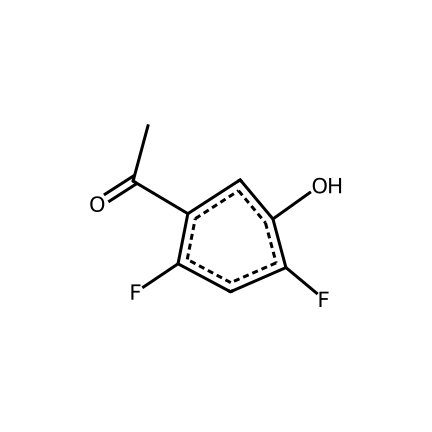 CC(=O)c1cc(O)c(F)cc1F